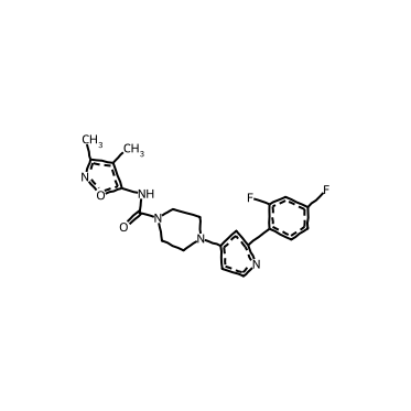 Cc1noc(NC(=O)N2CCN(c3ccnc(-c4ccc(F)cc4F)c3)CC2)c1C